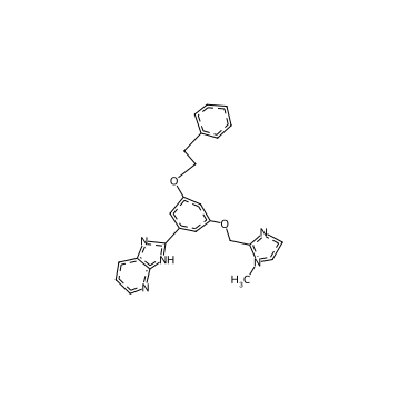 Cn1ccnc1COc1cc(OCCc2ccccc2)cc(-c2nc3cccnc3[nH]2)c1